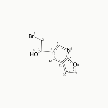 OC(CBr)c1cnc2occc2c1